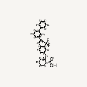 Cc1c(/C=C/c2ccc(CN3CCCC[C@H]3C(=O)O)cc2C(F)(F)F)cccc1-c1ccccc1